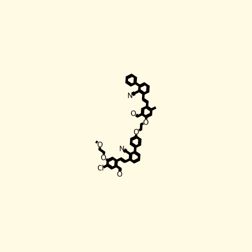 COCCOc1cc(/C=C/c2cccc(-c3ccc(OCCOc4cc(C)c(/C=C/c5cccc(-c6ccccc6)c5C#N)cc4C=O)cc3)c2C#N)c(C=O)cc1Cl